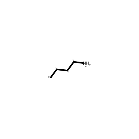 [C]CCCN